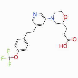 O=C(O)CCC1CN(c2cncc(CCc3ccc(OC(F)(F)F)cc3)c2)CCO1